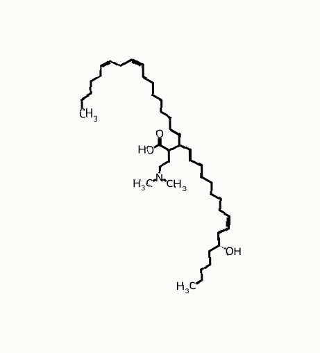 CCCCC/C=C\C/C=C\CCCCCCCCC(CCCCCCCC/C=C\C[C@H](O)CCCCC)C(CCN(C)C)C(=O)O